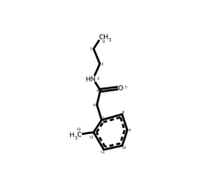 CCCNC(=O)Cc1ccccc1C